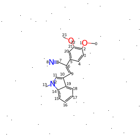 COc1ccc(C(C#N)=Cc2cn(C)c3ccccc23)cc1OC